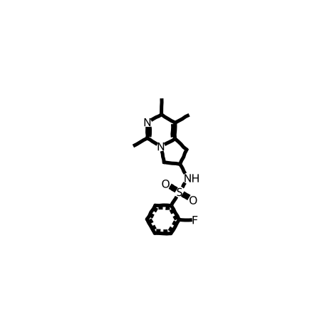 CC1=NC(C)C(C)=C2CC(NS(=O)(=O)c3ccccc3F)CN12